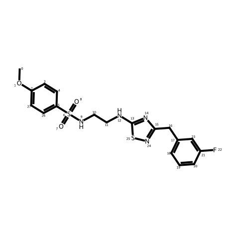 COc1ccc(S(=O)(=O)NCCNc2nc(Cc3cccc(F)c3)ns2)cc1